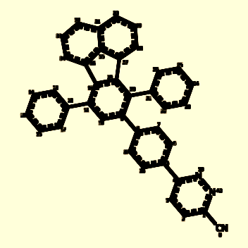 N#Cc1ccc(-c2ccc(-c3cc(-c4ccccc4)c4c(c3-c3ccccc3)-c3cccc5cccc-4c35)cc2)nn1